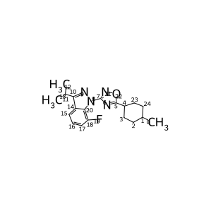 CC1CCC(c2nc(-n3nc(C(C)C)c4cccc(F)c43)no2)CC1